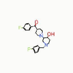 O=C(c1ccc(F)cc1)C1CCN(C2CN(Cc3ccc(F)cc3)CCC2O)CC1